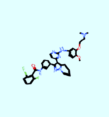 COc1ccc(Nc2nccc(-c3c(-c4cccc(NC(=O)c5c(F)cccc5F)c4)nn4ccccc34)n2)cc1OCCN(C)C